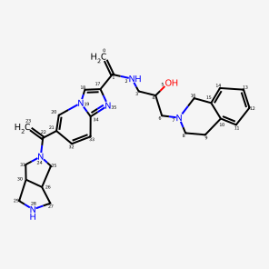 C=C(NCC(O)CN1CCc2ccccc2C1)c1cn2cc(C(=C)N3CC4CNCC4C3)ccc2n1